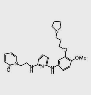 COc1ccc(Nc2cccc(NCCn3ccccc3=O)n2)cc1OCCCN1CCCC1